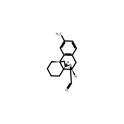 Cc1ccc2c(c1)[C@@]13CCCC[C@H]1[C@@H](C2)N(C=O)CC3